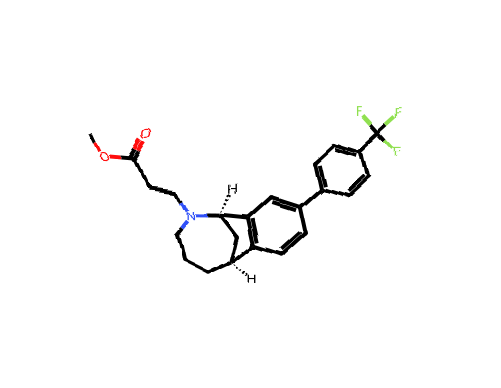 COC(=O)CCN1CCC[C@H]2C[C@@H]1c1cc(-c3ccc(C(F)(F)F)cc3)ccc12